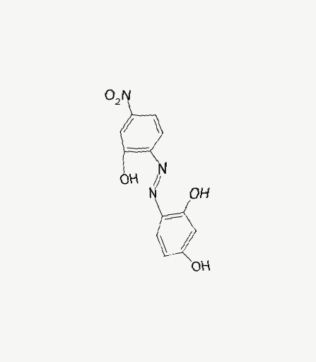 O=[N+]([O-])c1ccc(N=Nc2ccc(O)cc2O)c(O)c1